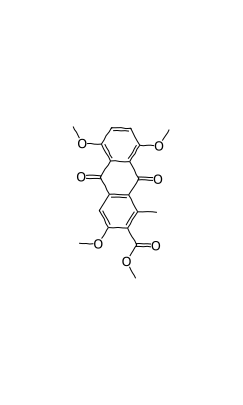 COC(=O)c1c(OC)cc2c(c1C)C(=O)c1c(OC)ccc(OC)c1C2=O